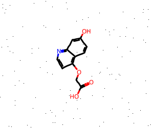 O=C(O)COc1ccnc2cc(O)ccc12